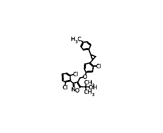 Cc1ccc(C2CC2c2ccc(OCc3c(-c4c(Cl)cccc4Cl)noc3C(C)(C)O)cc2Cl)cc1